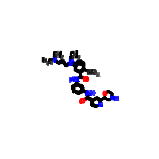 CN(C)CCCN(C)c1ccc([N+](=O)[O-])c(C(=O)Nc2cccc(NC(=O)c3ccnc(C4CNCCO4)c3)c2)c1